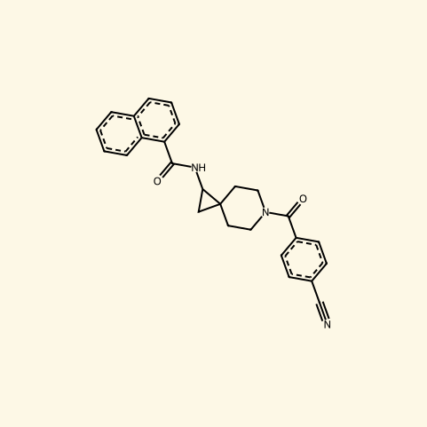 N#Cc1ccc(C(=O)N2CCC3(CC2)CC3NC(=O)c2cccc3ccccc23)cc1